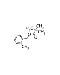 Cc1ccccc1COC(=O)C(C)(C)C